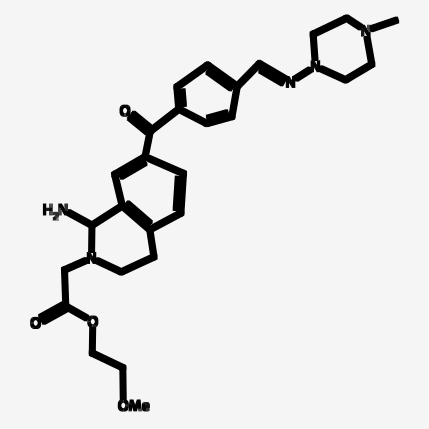 COCCOC(=O)CN1CCc2ccc(C(=O)c3ccc(C=NN4CCN(C)CC4)cc3)cc2C1N